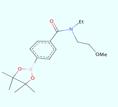 CCN(CCOC)C(=O)c1ccc(B2OC(C)(C)C(C)(C)O2)cc1